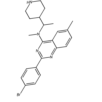 Cc1ccc2nc(-c3ccc(Br)cc3)nc(N(C)C(C)C3CCNCC3)c2c1